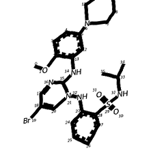 COc1ccc(N2CCOCC2)cc1NC1N=CC(Br)=CN1Nc1ccccc1S(=O)(=O)NC(C)C